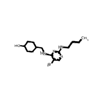 CCCCNc1ncc(Br)c(NCC2CCC(O)CC2)n1